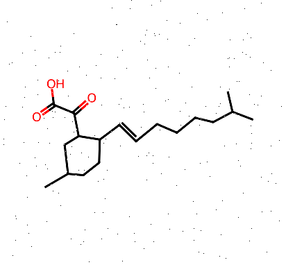 CC(C)CCCCC=CC1CCC(C)CC1C(=O)C(=O)O